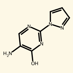 Nc1cnc(-n2cccn2)nc1O